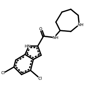 O=C(NC1CCCCNC1)c1cc2c(Cl)cc(Cl)cc2[nH]1